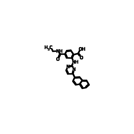 CCNC(=O)c1ccc(C(=O)O)c(Nc2nccc(-c3ccc4ccccc4c3)n2)c1